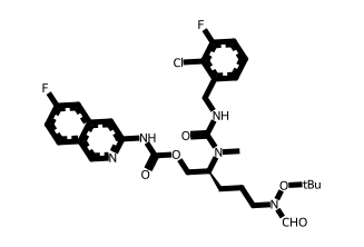 CN(C(=O)NCc1cccc(F)c1Cl)[C@@H](CCCN(C=O)OC(C)(C)C)COC(=O)Nc1cc2cc(F)ccc2cn1